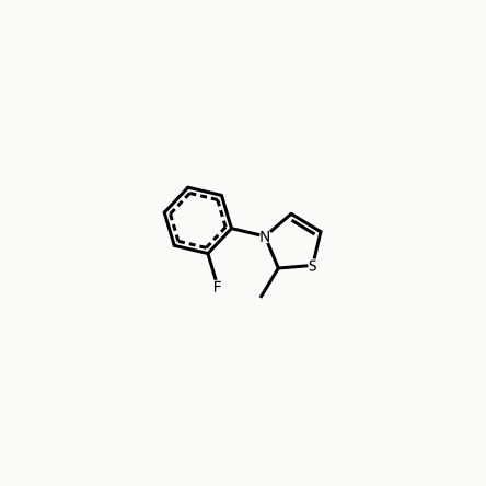 CC1SC=CN1c1ccccc1F